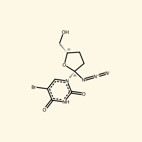 [N-]=[N+]=N[C@]1(n2cc(Br)c(=O)[nH]c2=O)CC[C@@H](CO)O1